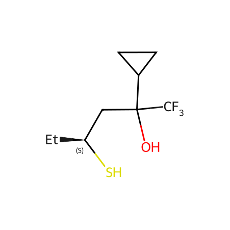 CC[C@H](S)CC(O)(C1CC1)C(F)(F)F